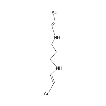 CC(=O)C=CNCCCNC=CC(C)=O